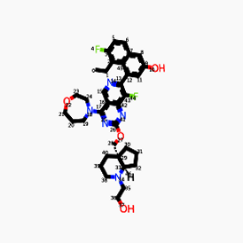 CCc1c(F)ccc2cc(O)cc(-c3ncc4c(N5CCCOCC5)nc(OC[C@]56CCC[C@H]5N(CCO)CCC6)nc4c3F)c12